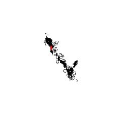 C[C@@H]1CO[C@@](O)(c2cc(F)cc(F)c2)[C@H](C)N1C(=O)OCOC(=O)C(=O)OCCCOC(=O)c1cc(S(N)(=O)=O)c(Cl)cc1NCc1ccco1